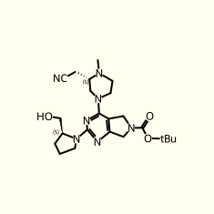 CN1CCN(c2nc(N3CCC[C@H]3CO)nc3c2CN(C(=O)OC(C)(C)C)C3)C[C@@H]1CC#N